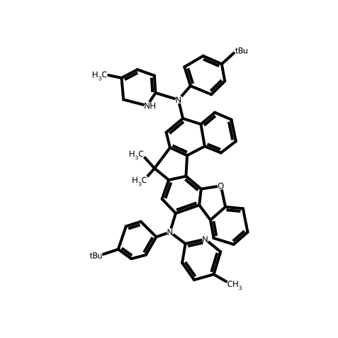 CC1=CC=C(N(c2ccc(C(C)(C)C)cc2)c2cc3c(c4ccccc24)-c2c(cc(N(c4ccc(C(C)(C)C)cc4)c4ccc(C)cn4)c4c2oc2ccccc24)C3(C)C)NC1